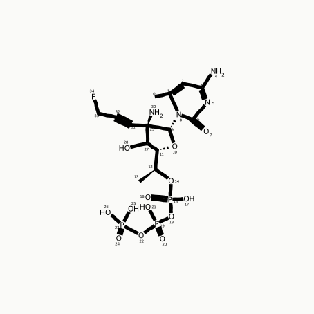 Cc1cc(N)nc(=O)n1[C@@H]1O[C@H]([C@H](C)OP(=O)(O)OP(=O)(O)OP(=O)(O)O)C(O)[C@]1(N)C#CCF